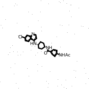 CC(=O)Nc1ccc(C(=O)N[C@H]2CC[C@@H](Nc3ccnc4cc(Cl)ccc34)CC2)cc1